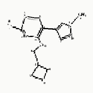 Cn1cc(-c2cnc(Cl)nc2OCC2COC2)cn1